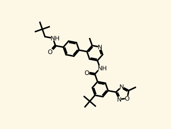 Cc1nc(-c2cc(C(=O)Nc3cnc(C)c(-c4ccc(C(=O)NCC(C)(C)C)cc4)c3)cc(C(C)(C)C)c2)no1